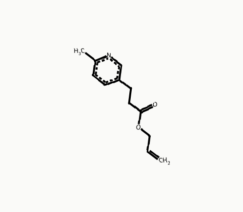 C=CCOC(=O)CCc1ccc(C)nc1